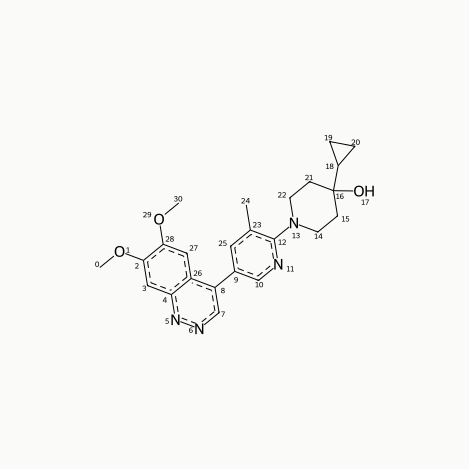 COc1cc2nncc(-c3cnc(N4CCC(O)(C5CC5)CC4)c(C)c3)c2cc1OC